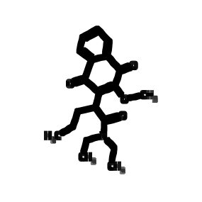 CCCC(C(=O)N(CC)CC)C1=C(OC)C(=O)c2ccccc2C1=O